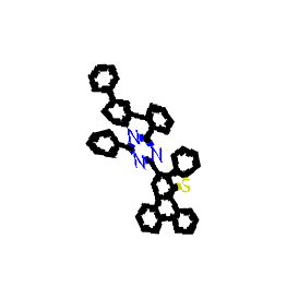 c1ccc(-c2cccc(-c3ccccc3-c3nc(-c4ccccc4)nc(-c4cc5c6ccccc6c6ccccc6c5c5sc6ccccc6c45)n3)c2)cc1